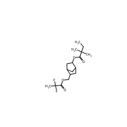 CCC(C)(C)C(=O)OC1CC2CC1CC2COC(=O)C(C)(F)F